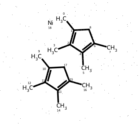 CC1=C(C)C(C)=C(C)C1.CC1=C(C)C(C)=C(C)C1.[Ni]